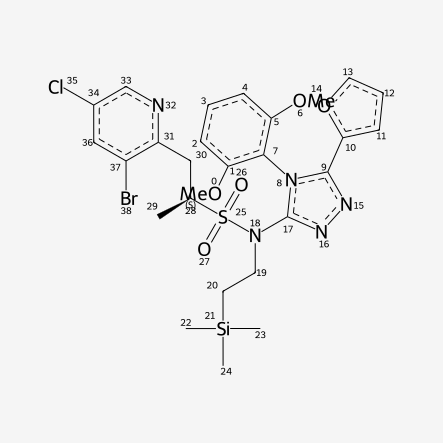 COc1cccc(OC)c1-n1c(-c2ccco2)nnc1N(CC[Si](C)(C)C)S(=O)(=O)[C@@H](C)Cc1ncc(Cl)cc1Br